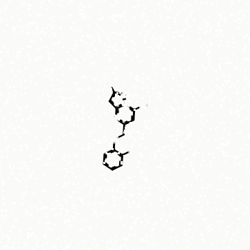 Cc1cc2nc(COc3ccccc3Br)cc(O)n2n1